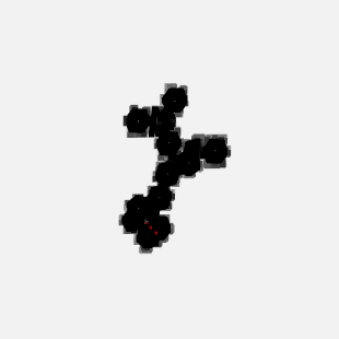 c1ccc(-c2nc(-c3ccccc3)nc(-c3ccc(-n4c5ccc(-c6ccc7c(c6)c6ccc8ccn(-c9ccccc9)c8c6n7-c6ccccc6)cc5c5ccc6c(ccn6-c6ccccc6)c54)cc3)n2)cc1